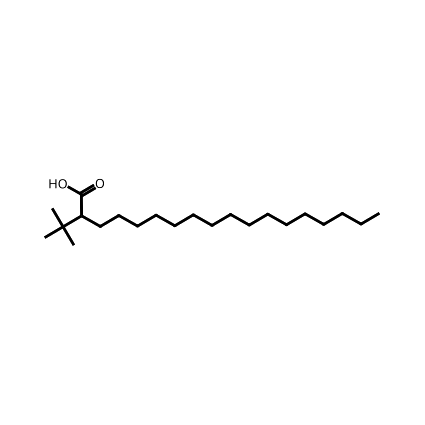 CCCCCCCCCCCCCCCCC(C(=O)O)C(C)(C)C